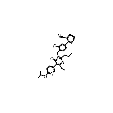 CCCc1nc(CC)c(-c2ccc(OC(C)C)nc2)c(=O)n1Cc1ccc(-c2ccccc2C#N)cc1F